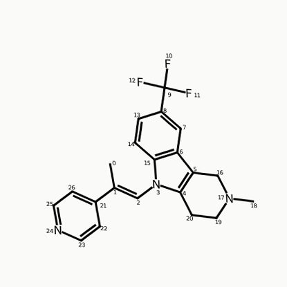 CC(=Cn1c2c(c3cc(C(F)(F)F)ccc31)CN(C)CC2)c1ccncc1